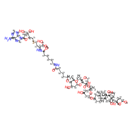 C[C@H]1OC(O[C@@H]2[C@@H](C)OCC[C@@]2(O)O[C@H]2[C@@H](O)CC(O[C@@H]3CC[C@@]4(C)[C@H](CCC5[C@@H]4C[C@@H](O)[C@]4(C)[C@@H](C6=CC(=O)OC6)CC[C@]54O)C3)O[C@@H]2C)C[C@H](O)[C@@H]1OCCCCCC(=O)NCCCCCC(=O)N[C@@H](CCSC[C@H]1O[C@@H](n2cnc3c(N)ncnc32)[C@H](O)[C@@H]1O)C(=O)O